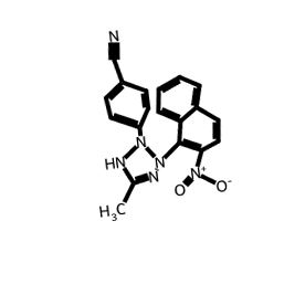 CC1=NN(c2c([N+](=O)[O-])ccc3ccccc23)N(c2ccc(C#N)cc2)N1